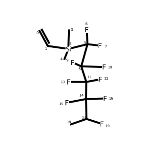 C=C[Si](C)(C)C(F)(F)C(F)(F)C(F)(F)C(F)(F)C(C)F